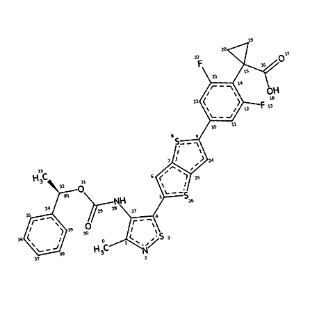 Cc1nsc(-c2cc3sc(-c4cc(F)c(C5(C(=O)O)CC5)c(F)c4)cc3s2)c1NC(=O)O[C@H](C)c1ccccc1